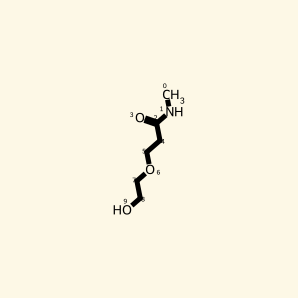 CNC(=O)CCOCCO